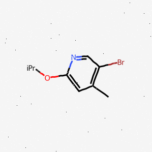 Cc1cc(OC(C)C)ncc1Br